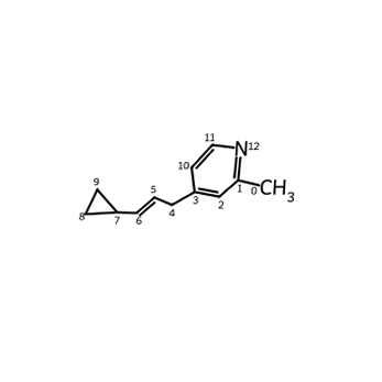 Cc1cc(CC=CC2CC2)ccn1